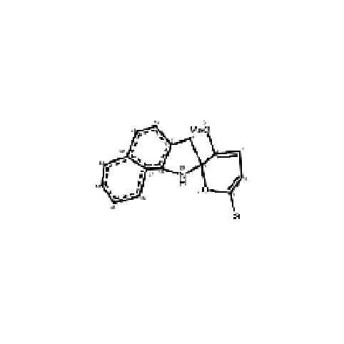 COC1=CC=C(Br)OC12Cc1ccc3ccccc3c1N2